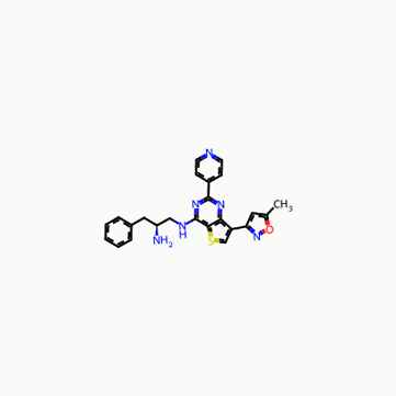 Cc1cc(-c2csc3c(NC[C@@H](N)Cc4ccccc4)nc(-c4ccncc4)nc23)no1